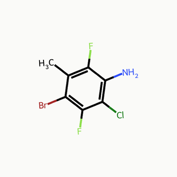 Cc1c(F)c(N)c(Cl)c(F)c1Br